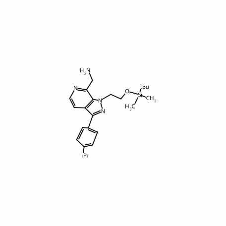 CC(C)c1ccc(-c2nn(CCO[Si](C)(C)C(C)(C)C)c3c(CN)nccc23)cc1